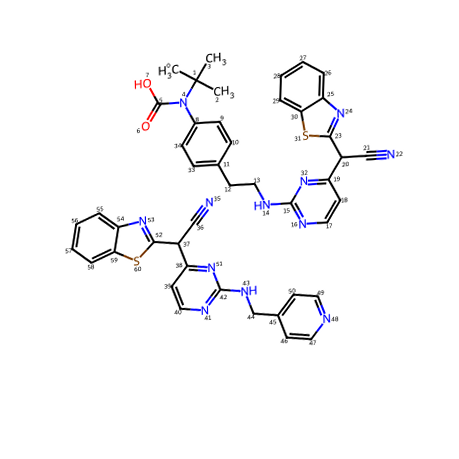 CC(C)(C)N(C(=O)O)c1ccc(CCNc2nccc(C(C#N)c3nc4ccccc4s3)n2)cc1.N#CC(c1ccnc(NCc2ccncc2)n1)c1nc2ccccc2s1